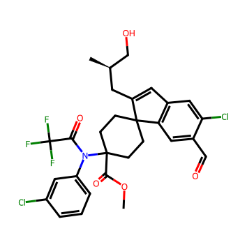 COC(=O)C1(N(C(=O)C(F)(F)F)c2cccc(Cl)c2)CCC2(CC1)C(C[C@@H](C)CO)=Cc1cc(Cl)c(C=O)cc12